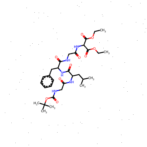 CCOC(=O)C(NC(=O)CNC(=O)C(Cc1ccccc1)NC(=O)C(CC(C)C)NC(=O)CNC(=O)OC(C)(C)C)C(=O)OCC